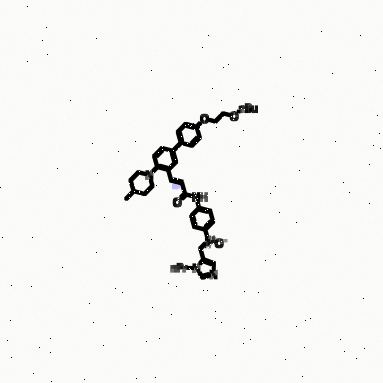 CCCCOCCOc1ccc(-c2ccc(N3CCC(C)CC3)c(/C=C/C(=O)Nc3ccc([S@@+]([O-])Cc4cncn4CCC)cc3)c2)cc1